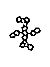 c1ccc2cc(-c3c4cc5c6cccc7c8ccccc8n(c5cc4c(-c4ccc5ccccc5c4)c4cc5c8cccc9c%10ccccc%10n(c5cc34)c98)c76)ccc2c1